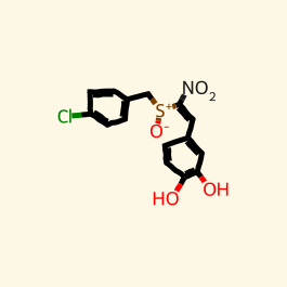 O=[N+]([O-])/C(=C/c1ccc(O)c(O)c1)[S+]([O-])Cc1ccc(Cl)cc1